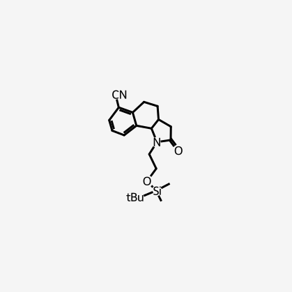 CC(C)(C)[Si](C)(C)OCCN1C(=O)CC2CCc3c(C#N)cccc3C21